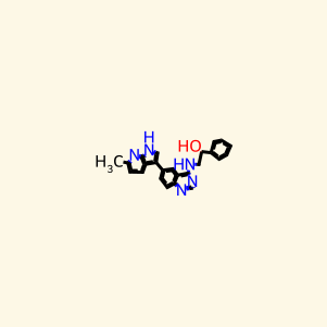 Cc1ccc2c(-c3ccc4ncnc(NCC(O)c5ccccc5)c4c3)c[nH]c2n1